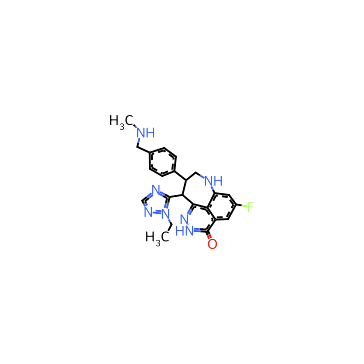 CCn1ncnc1C1c2n[nH]c(=O)c3cc(F)cc(c23)NCC1c1ccc(CNC)cc1